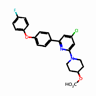 O=C(O)OC1CCN(c2cc(Cl)cc(-c3ccc(Oc4ccc(F)cc4)cc3)n2)CC1